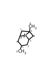 CC1CC2CC3(C)CC(C1)N23